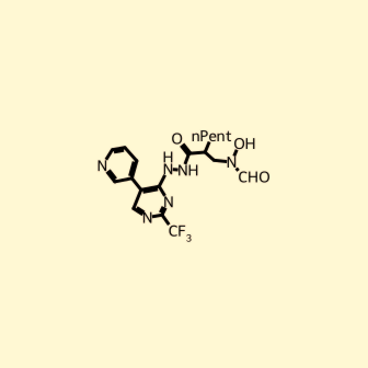 CCCCCC(CN(O)C=O)C(=O)NNc1nc(C(F)(F)F)ncc1-c1cccnc1